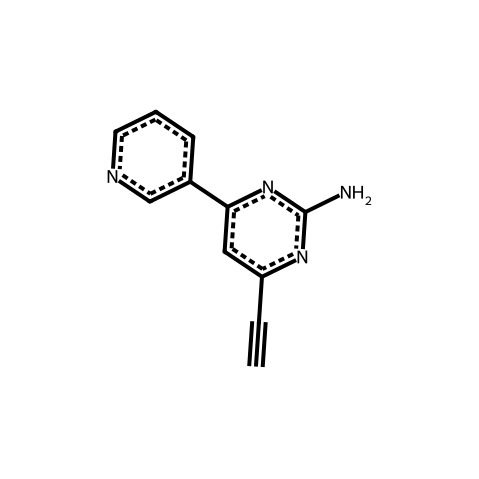 C#Cc1cc(-c2cccnc2)nc(N)n1